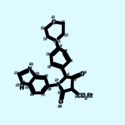 CCOC(=O)C1C(=O)C(c2ccc(N3CCOCC3)cc2)N(c2ccc3[nH]cnc3c2)C1=O